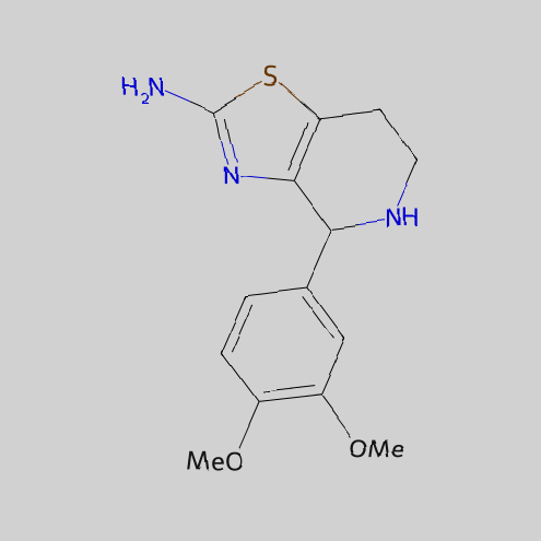 COc1ccc(C2NCCc3sc(N)nc32)cc1OC